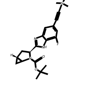 CC(C)(C)OC(=O)N1C2C[C@@H]2C[C@H]1c1nc2cc(C#C[Si](C)(C)C)cc(F)c2[nH]1